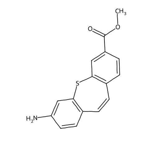 COC(=O)c1ccc2c(c1)Sc1cc(N)ccc1C=C2